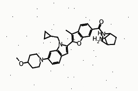 COC1CCN(c2ccc3cc(-c4oc5cc(C(=O)N6CC7CCC6[C@@H]7N)ccc5c4C)n(CC4CC4)c3c2)CC1